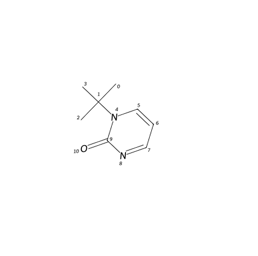 CC(C)(C)n1cccnc1=O